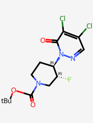 CC(C)(C)OC(=O)N1CC[C@@H](n2ncc(Cl)c(Cl)c2=O)[C@H](F)C1